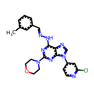 Cc1cccc(C=NNc2nc(N3CCOCC3)nc3c2ncn3-c2ccnc(Cl)c2)c1